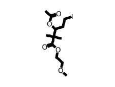 COCCOC(=O)C(C)(C)C(CCI)OC(C)=O